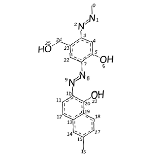 CN=Nc1cc(O)c(N=Nc2ccc3cc(C)ccc3c2O)cc1CO